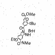 Br.CCOc1cc2c(cc1C(=O)NC)C(=N)N(CC(=O)c1cc(C(C)(C)C)c3oc(C(=O)OC)cc3c1)C2